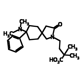 CN(C)C1(c2ccccc2)CCC2(CC1)CC(=O)N(CCC(C)(C)C(=O)O)C2